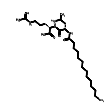 CCCCCCCCCCCCCC(=O)N[C@@H](CC(C)C)C(=O)N[C@@H](CCCNC(=N)N)C(=O)O